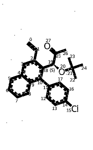 C=Cc1cc2ccccc2c(-c2ccc(Cl)cc2)c1[C@H](OC(C)(C)C)C(C)=O